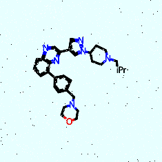 C[C](C)CN1CCC(n2cc(-c3cnc4cccc(-c5ccc(CN6CCOCC6)cc5)c4n3)cn2)CC1